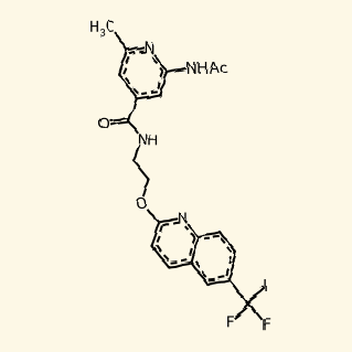 CC(=O)Nc1cc(C(=O)NCCOc2ccc3cc(C(F)(F)I)ccc3n2)cc(C)n1